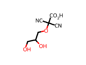 N#CC(C#N)(OCC(O)CO)C(=O)O